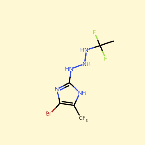 CC(F)(F)NNNc1nc(Br)c(C(F)(F)F)[nH]1